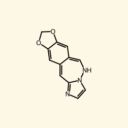 C1=c2cc3c(cc2=Cc2nccn2N1)OCO3